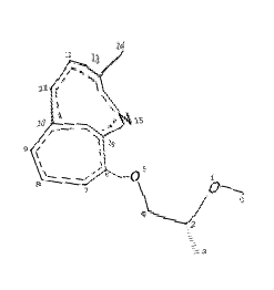 CO[C@H](C)COc1cccc2ccc(C)nc12